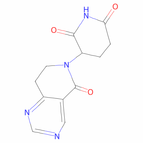 O=C1CCC(N2CCc3ncncc3C2=O)C(=O)N1